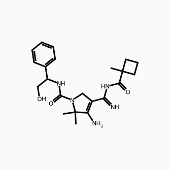 CC1(C(=O)NC(=N)C2=C(N)C(C)(C)N(C(=O)NC(CO)c3ccccc3)C2)CCC1